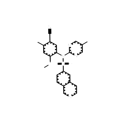 COc1cc(Cl)c(C#N)cc1N(c1ncc(F)cn1)S(=O)(=O)c1ccc2cnccc2c1